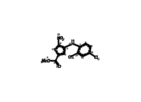 COC(=O)c1cc(Nc2ccc(Cl)cc2Cl)c([N+](=O)[O-])s1